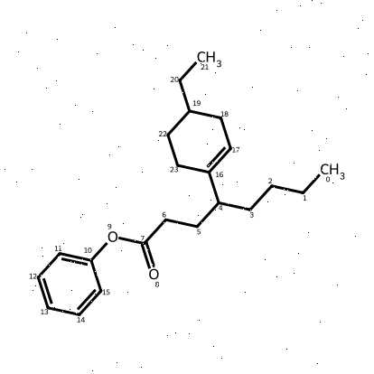 CCCCC(CCC(=O)Oc1ccccc1)C1=CCC(CC)CC1